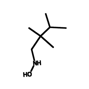 CC(C)C(C)(C)CNO